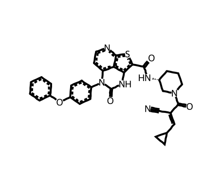 N#C/C(=C\C1CC1)C(=O)N1CCC[C@@H](NC(=O)c2sc3nccc4c3c2NC(=O)N4c2ccc(Oc3ccccc3)cc2)C1